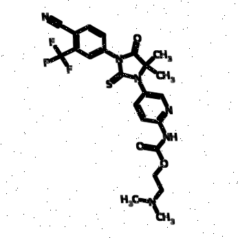 CN(C)CCOC(=O)Nc1ccc(N2C(=S)N(c3ccc(C#N)c(C(F)(F)F)c3)C(=O)C2(C)C)cn1